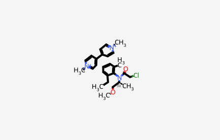 CCc1cccc(C)c1N(C(=O)CCl)[C@@H](C)COC.C[n+]1ccc(-c2cc[n+](C)cc2)cc1